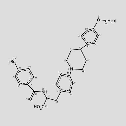 CCCCCCCOc1ccc(C2CCN(c3ccc(CC(NC(=O)c4ccc(C(C)(C)C)cc4)C(=O)O)cc3)CC2)cc1